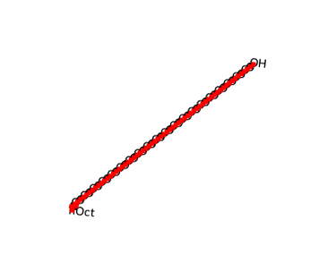 CCCCCCCCc1ccc(OCCOCCOCCOCCOCCOCCOCCOCCOCCOCCOCCOCCOCCOCCOCCOCCOCCOCCOCCOCCOCCOCCOCCOCCOCCOCCOCCOCCOCCOCCOCCOCCOCCOCCOCCOCCOCCOCCOCCOCCO)cc1